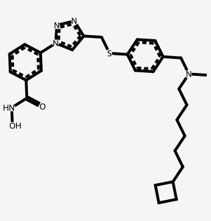 CN(CCCCCCC1CCC1)Cc1ccc(SCc2cn(-c3cccc(C(=O)NO)c3)nn2)cc1